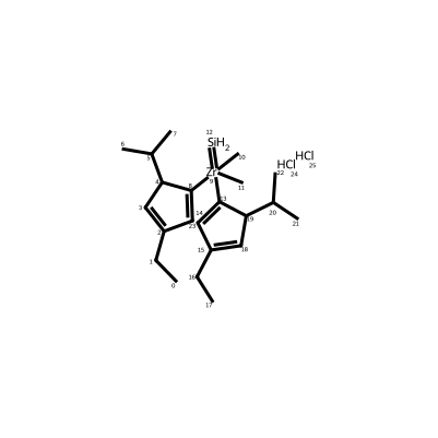 CCC1=CC(C(C)C)[C]([Zr]([CH3])([CH3])(=[SiH2])[C]2=CC(CC)=CC2C(C)C)=C1.Cl.Cl